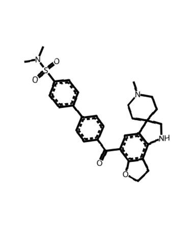 CN1CCC2(CC1)CNc1c2cc(C(=O)c2ccc(-c3ccc(S(=O)(=O)N(C)C)cc3)cc2)c2c1CCO2